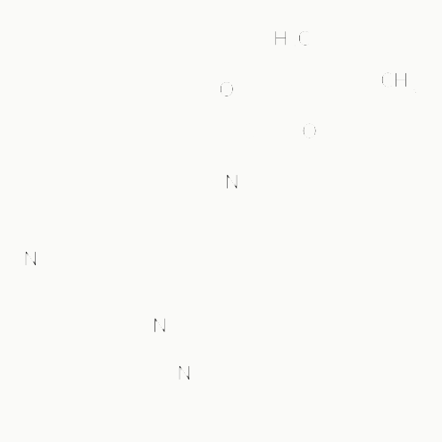 CC(C)OC(=O)N1CCC(n2nccc2C#N)CC1